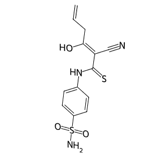 C=CCC(O)=C(C#N)C(=S)Nc1ccc(S(N)(=O)=O)cc1